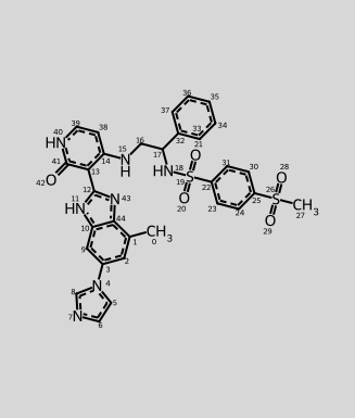 Cc1cc(-n2ccnc2)cc2[nH]c(-c3c(NCC(NS(=O)(=O)c4ccc(S(C)(=O)=O)cc4)c4ccccc4)cc[nH]c3=O)nc12